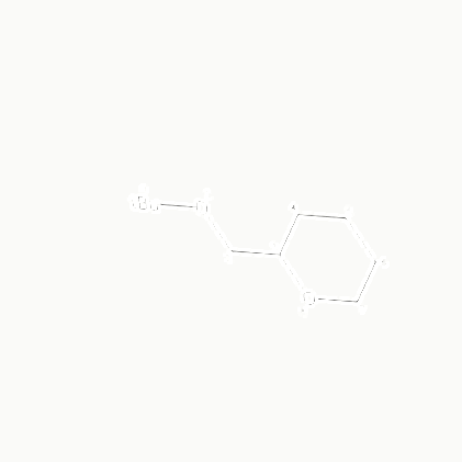 CC(C)(C)OCC1CCCCO1